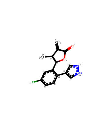 C=C1C(=O)OC(c2cc(F)ccc2-c2cn[nH]c2)C1C